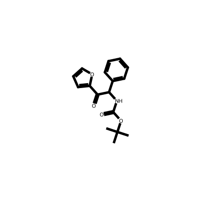 CC(C)(C)OC(=O)NC(C(=O)c1ccco1)c1ccccc1